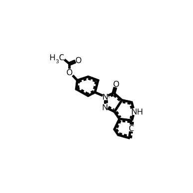 CC(=O)Oc1ccc(-n2nc3c4ccccc4[nH]cc-3c2=O)cc1